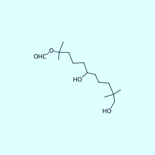 CC(C)(CO)CCCC(O)CCCC(C)(C)OC=O